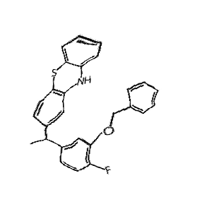 CC(c1ccc2c(c1)Nc1ccccc1S2)c1ccc(F)c(OCc2ccccc2)c1